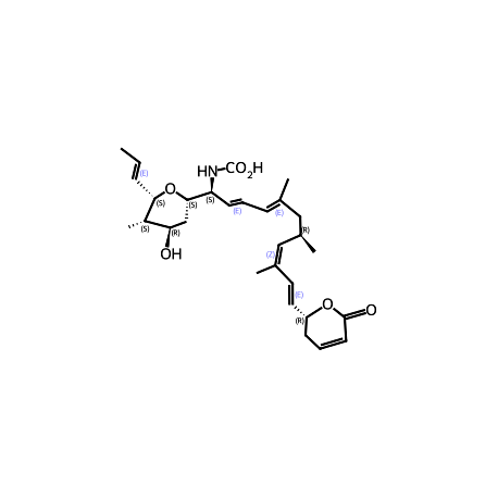 C/C=C/[C@@H]1O[C@H]([C@H](/C=C/C=C(\C)C[C@@H](C)/C=C(C)\C=C\[C@H]2CC=CC(=O)O2)NC(=O)O)C[C@@H](O)[C@@H]1C